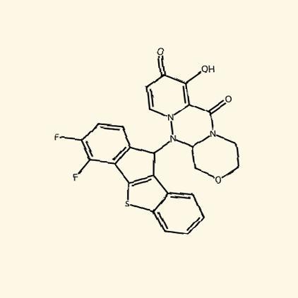 O=C1c2c(O)c(=O)ccn2N(C2c3ccc(F)c(F)c3-c3sc4ccccc4c32)C2COCCN12